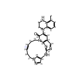 Cc1cccc2c1NCCN2c1cc2cnc3nc2n(c1=O)CC/C=C\CCn1cc(cn1)N3